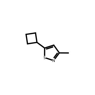 Cc1cc(C2CCC2)sn1